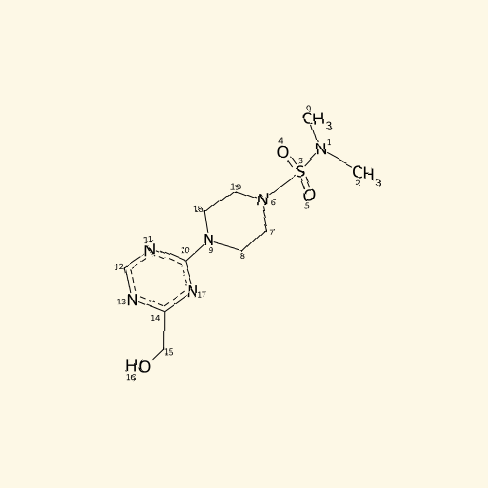 CN(C)S(=O)(=O)N1CCN(c2ncnc(CO)n2)CC1